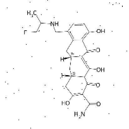 CC(CF)NCc1ccc(O)c2c1C[C@H]1C[C@H]3CC(O)=C(C(N)=O)C(=O)C3C(O)=C1C2=O